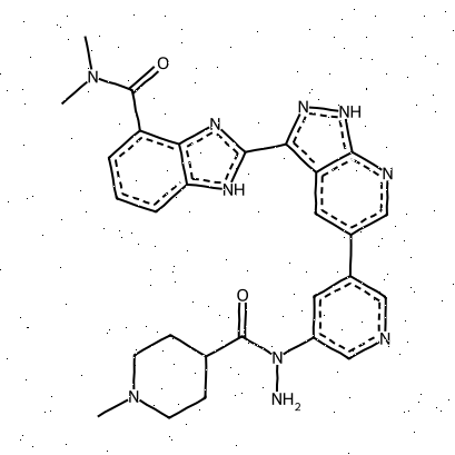 CN1CCC(C(=O)N(N)c2cncc(-c3cnc4[nH]nc(-c5nc6c(C(=O)N(C)C)cccc6[nH]5)c4c3)c2)CC1